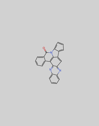 O=c1c2ccccc2c2c3nc4ccccc4nc3cc3c4ccccc4n1c32